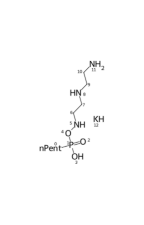 CCCCCP(=O)(O)ONCCNCCN.[KH]